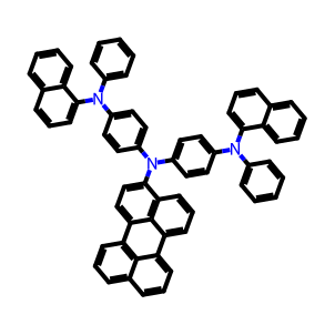 c1ccc(N(c2ccc(N(c3ccc(N(c4ccccc4)c4cccc5ccccc45)cc3)c3ccc4c5cccc6cccc(c7cccc3c74)c65)cc2)c2cccc3ccccc23)cc1